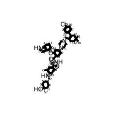 Cc1cc(S(=O)(=O)NC(=O)c2ccc(N3CCN(CC4=C(c5ccc(Cl)cc5)CC(C)(C)CC4)CC3)cc2Oc2cccc3[nH]ncc23)ccc1NC[C@H]1CC[C@](C)(O)CC1